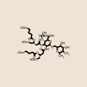 CCCCCCCCCCCCCC(=O)O[C@H](CCCCCCCCCCC)CC(=O)N[C@H]1C(OC(=O)C[C@@H](CCCCCCCCCCC)OC(=O)CCCCCCCCCCCCC)[C@H](OP(=O)(O)O)C(CO)O[C@H]1OCC1O[C@H](C)C(C)[C@@H](O)[C@@H]1O